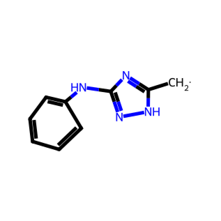 [CH2]c1nc(Nc2ccccc2)n[nH]1